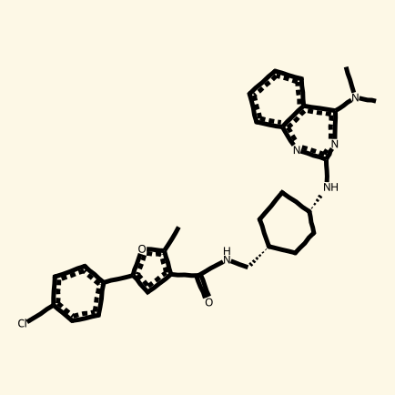 Cc1oc(-c2ccc(Cl)cc2)cc1C(=O)NC[C@H]1CC[C@@H](Nc2nc(N(C)C)c3ccccc3n2)CC1